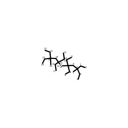 CCC(C)(CC)CC(CC)(CC)SC(CC)(CC)CC(C)(CC)CC